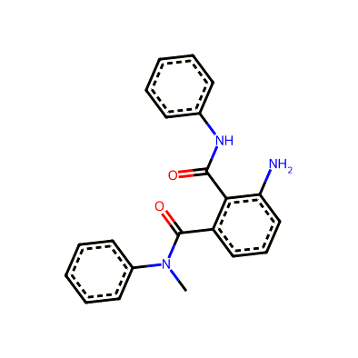 CN(C(=O)c1cccc(N)c1C(=O)Nc1ccccc1)c1ccccc1